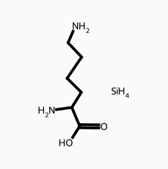 NCCCCC(N)C(=O)O.[SiH4]